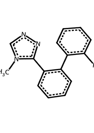 Cn1cnnc1-c1ccccc1-c1ccccc1F